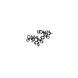 COC(=O)c1cc2c(s1)-c1ccc(F)cc1N(C(=O)c1ccc(NC(=O)c3cc(C)cnc3N3CC4(CCOCC4)C3)cc1)CC2